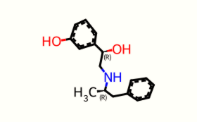 C[C@H](Cc1ccccc1)NC[C@H](O)c1cccc(O)c1